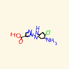 Nc1cc2nc(-n3cc(C(=O)O)cn3)[nH]c2cc1Cl